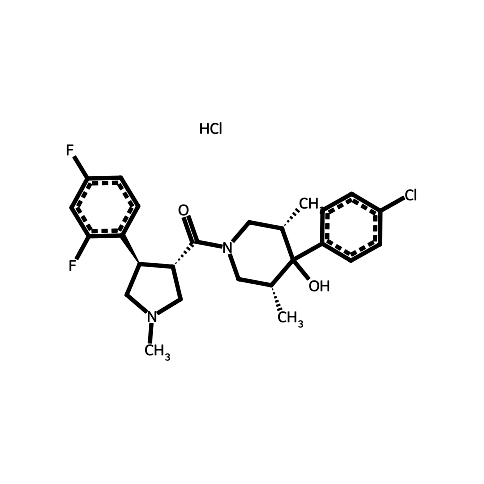 C[C@@H]1CN(C(=O)[C@@H]2CN(C)C[C@H]2c2ccc(F)cc2F)C[C@H](C)C1(O)c1ccc(Cl)cc1.Cl